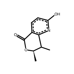 CC1c2nc(O)ccc2C(=O)O[C@@H]1C